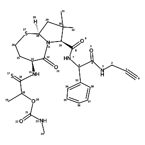 C#CCNC(=O)C(NC(=O)[C@H]1N2C(=O)[C@@H](NC(=S)C(C)OC(=O)NC)CCS[C@H]2CC1(C)C)c1ccccc1